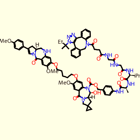 CCC(C)(C)n1nnc2c1-c1ccccc1CN(C(=O)CCC(=O)NCC(=O)NCC(=O)N[C@H](C(=O)N[C@@H](C)C(=O)Nc1ccc(COC(=O)N3c4cc(OCCCCCOc5cc6c(cc5OC)C(=O)N5C=C(c7ccc(OC)cc7)C[C@H]5CN6)c(OC)cc4C(=O)N4CC5(CC5)C[C@H]4[C@@H]3O)cc1)C(C)C)c1ccccc1-2